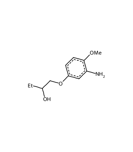 CCC(O)COc1ccc(OC)c(N)c1